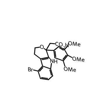 COc1cc(C2(CC(=O)O)OCCc3c2[nH]c2cccc(Br)c32)cc(OC)c1OC